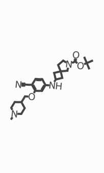 CN1CCC(COc2cc(NC3CC4(CCN(C(=O)OC(C)(C)C)C4)C3)ccc2C#N)CC1